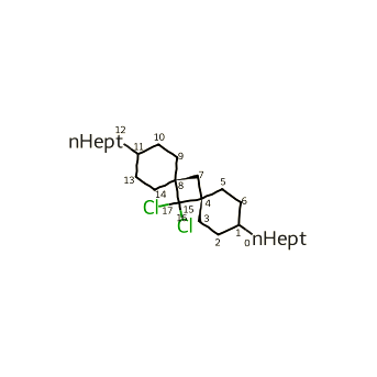 CCCCCCCC1CC[C@]2(CC1)C[C@@]1(CCC(CCCCCCC)CC1)C2(Cl)Cl